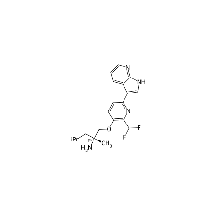 CC(C)C[C@@](C)(N)COc1ccc(-c2c[nH]c3ncccc23)nc1C(F)F